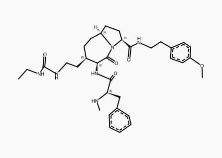 CCNC(=O)NCC[C@H]1CC[C@H]2CC[C@@H](C(=O)NCCc3ccc(OC)cc3)N2C(=O)[C@H]1NC(=O)[C@@H](Cc1ccccc1)NC